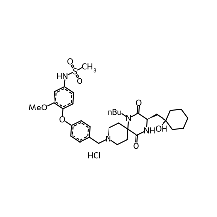 CCCCN1C(=O)[C@@H](CC2(O)CCCCC2)NC(=O)C12CCN(Cc1ccc(Oc3ccc(NS(C)(=O)=O)cc3OC)cc1)CC2.Cl